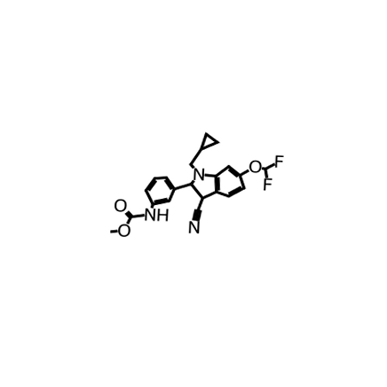 COC(=O)Nc1cccc(C2C(C#N)c3ccc(OC(F)F)cc3N2CC2CC2)c1